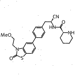 COCCn1c(=O)sc2ccc(-c3ccc(C[C@@H](C#N)NC(=O)[C@@H]4CCCCN4)cc3)cc21